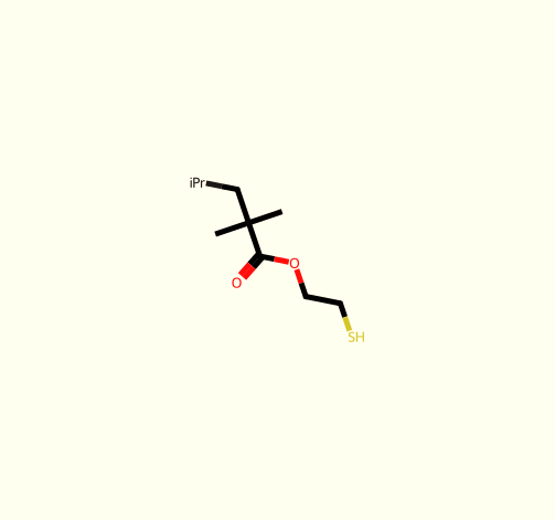 CC(C)CC(C)(C)C(=O)OCCS